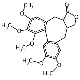 COc1cc2c(cc1OC)-c1c(cc(OC)c(OC)c1OC)CC1C(=O)OCC1C2